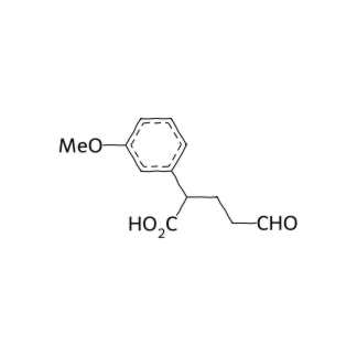 COc1cccc(C(CCC=O)C(=O)O)c1